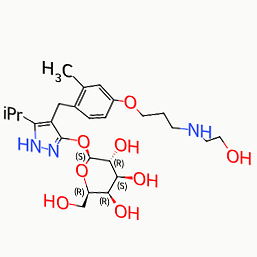 Cc1cc(OCCCNCCO)ccc1Cc1c(O[C@@H]2O[C@H](CO)[C@H](O)[C@H](O)[C@H]2O)n[nH]c1C(C)C